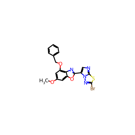 COc1cc(OCc2ccccc2)c2nc(-c3cnc4sc(Br)nn34)oc2c1